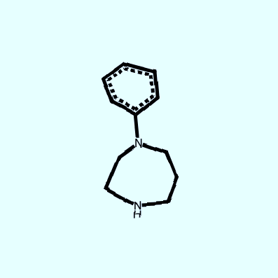 c1ccc(N2CCCNCC2)cc1